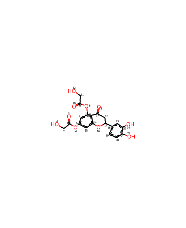 O=C(CO)Oc1cc(OC(=O)CO)c2c(c1)OC(c1ccc(O)c(O)c1)CC2=O